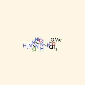 COC(=O)CN(C)CCNC(=O)c1nc(Cl)c(N)nc1N